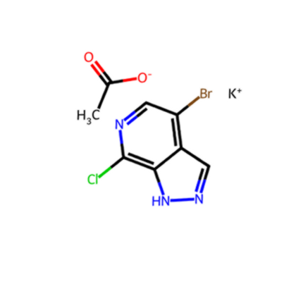 CC(=O)[O-].Clc1ncc(Br)c2cn[nH]c12.[K+]